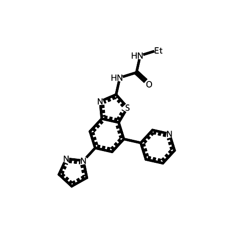 CCNC(=O)Nc1nc2cc(-n3cccn3)cc(-c3cccnc3)c2s1